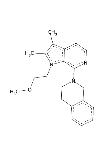 COCCn1c(C)c(C)c2ccnc(N3CCc4ccccc4C3)c21